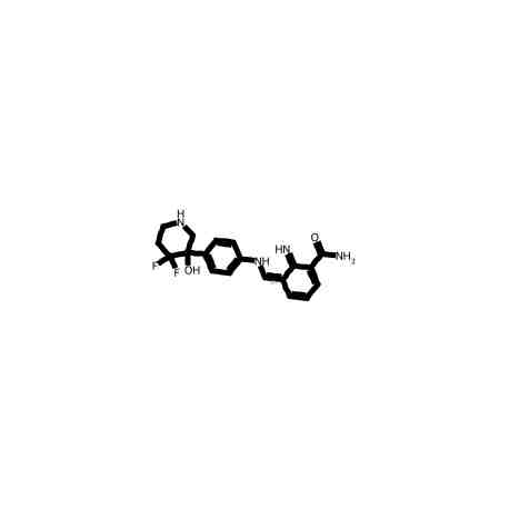 N=C1C(C(N)=O)=CC=C/C1=C/Nc1ccc(C2(O)CNCCC2(F)F)cc1